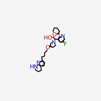 OCC(c1cc(F)cnc1[C@H]1CCCCO1)N1CC[C@@H](OCCCCc2ccc3c(n2)NCCC3)C1